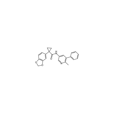 Cc1ncc(NC(=O)C2(c3ccc4c(c3)OCO4)CC2)cc1-c1ccccc1